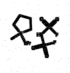 CCC[N+]1(C)CCCC1.O=S(=O)(F)NS(=O)(=O)F